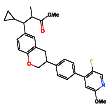 COC(=O)C(C)C(c1ccc2c(c1)CC(c1ccc(-c3cc(OC)ncc3F)cc1)CO2)C1CC1